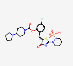 O=C1N=C(N2CCCCN2P(=O)(O)O)S/C1=C\c1ccc(F)cc1OC(=O)N1CCC(N2CCCC2)CC1